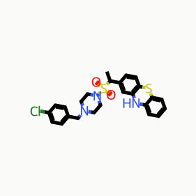 CC(c1ccc2c(c1)Nc1ccccc1S2)S(=O)(=O)N1CCN(Cc2ccc(Cl)cc2)CC1